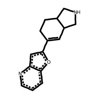 C1=C(c2cc3ncccc3o2)CCC2CNCC12